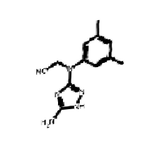 Cc1cc(C)cc(N(CC#N)c2n[nH]c(N)n2)c1